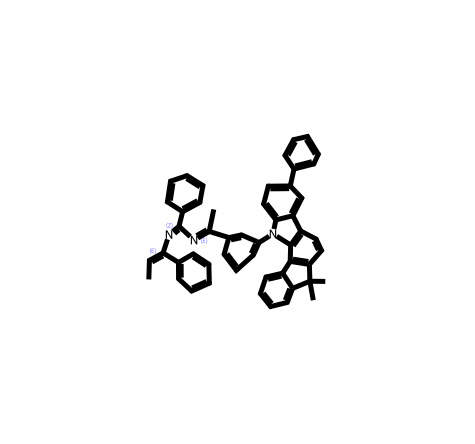 C/C=C(/N=C(\N=C(/C)c1cccc(-n2c3ccc(-c4ccccc4)cc3c3ccc4c(c32)-c2ccccc2C4(C)C)c1)c1ccccc1)c1ccccc1